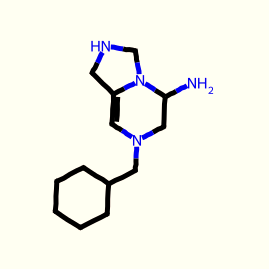 NC1CN(CC2CCCCC2)C=C2CNCN21